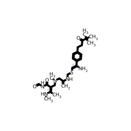 C=C(CN(C)C/C(C(=O)NC=O)=C(\C)NC)NCS/C=C(\N)c1ccc(CCC(=O)C(C)(C)C)cc1